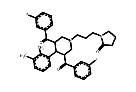 Cc1cccc(C2C(C(=O)c3cccc(F)c3)CN(CCCN3CCCC3=O)CC2C(=O)c2cccc(F)c2)c1C